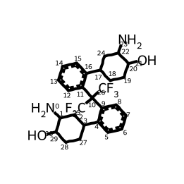 NC1CC(c2ccccc2C(c2ccccc2C2CCC(O)C(N)C2)(C(F)(F)F)C(F)(F)F)CCC1O